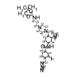 CC(C)(C)OC(=O)NCCCN1CCN(Cc2ccc(NC(=O)c3ccc(CN=[N+]=[N-])c(I)c3)cc2C(F)(F)F)CC1